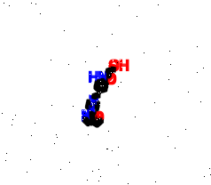 O=C(CCO)N[C@H]1CC[C@H](CCN2CCN(c3nccc4c3OCC4)CC2)CC1